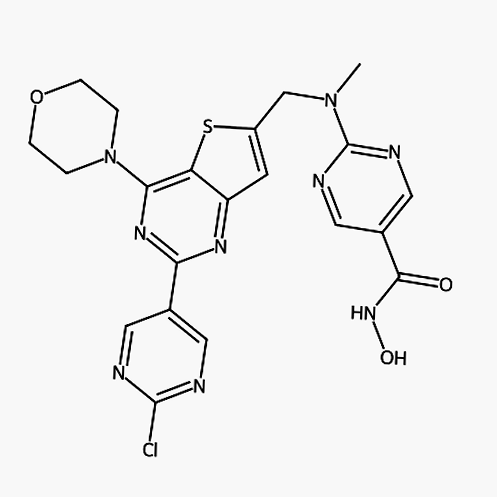 CN(Cc1cc2nc(-c3cnc(Cl)nc3)nc(N3CCOCC3)c2s1)c1ncc(C(=O)NO)cn1